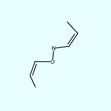 C/C=C\[N]O/C=C\C